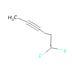 CC#CCC(F)F